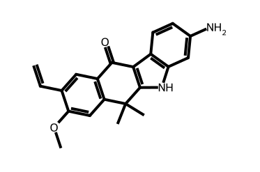 C=Cc1cc2c(cc1OC)C(C)(C)c1[nH]c3cc(N)ccc3c1C2=O